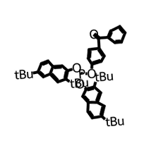 CC(C)(C)c1ccc2cc(OP(Oc3ccc(C(=O)c4ccccc4)cc3)Oc3cc4ccc(C(C)(C)C)cc4cc3C(C)(C)C)c(C(C)(C)C)cc2c1